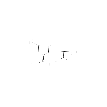 CC(C(=O)O)=C(CCO)CCO.CCC(C(=O)O)C(C(=O)O)(C(=O)O)C(=O)O